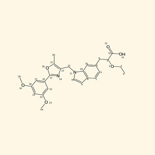 CCOC(Cc1ccc2ccn(Cc3nc(-c4cc(OC)cc(OC)c4)oc3C)c2c1)C(=O)O